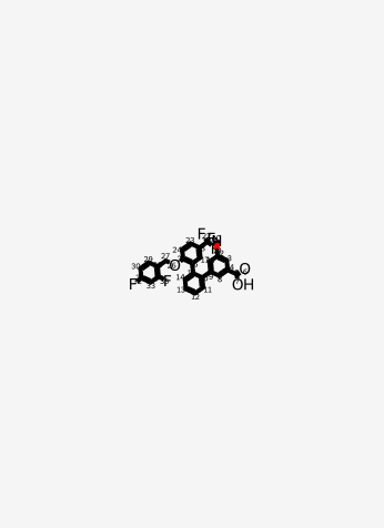 N#Cc1cc(C(=O)O)cc(-c2ccccc2-c2cc(C(F)(F)F)ccc2OCc2ccc(F)cc2F)c1